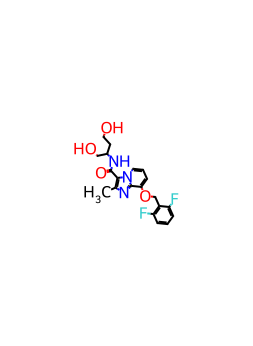 Cc1nc2c(OCc3c(F)cccc3F)cccn2c1C(=O)NC(CO)CCO